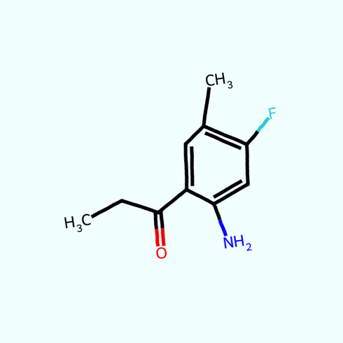 CCC(=O)c1cc(C)c(F)cc1N